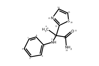 CC(Nc1ccccc1)(C(N)=O)c1nccs1